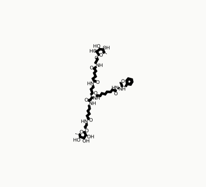 C[C@@H]1O[C@@H](OCCNC(=O)CCCCCNC(=O)[C@H](CCCCNC(=O)CCCCC(=O)NCCO[C@@H]2O[C@@H](C)[C@@H](O)[C@@H](O)[C@@H]2O)NC(=O)CCCCCCC(=O)NN[C@H](C=O)Cc2ccccc2)[C@@H](O)[C@H](O)[C@@H]1O